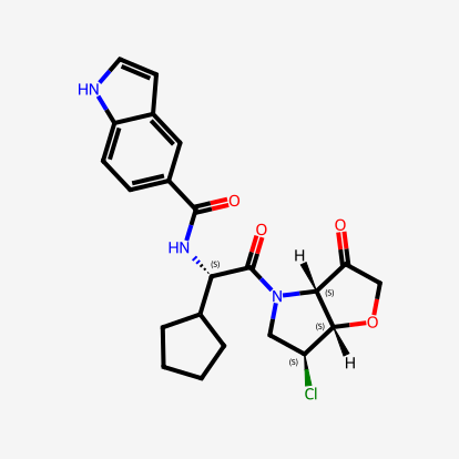 O=C(N[C@H](C(=O)N1C[C@H](Cl)[C@H]2OCC(=O)[C@H]21)C1CCCC1)c1ccc2[nH]ccc2c1